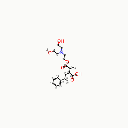 COCCN(CCO)CCOC(=O)C(C)C(CC(C)c1ccccc1)C(=O)O